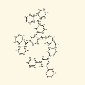 c1ccc(-c2cc(-c3ccc4oc5ccc(-n6c7ccc(-n8c9ccccc9c9ccccc98)cc7c7cc(-n8c9ccccc9c9ccccc98)ccc76)cc5c4c3)nc(-c3ccccc3)n2)cc1